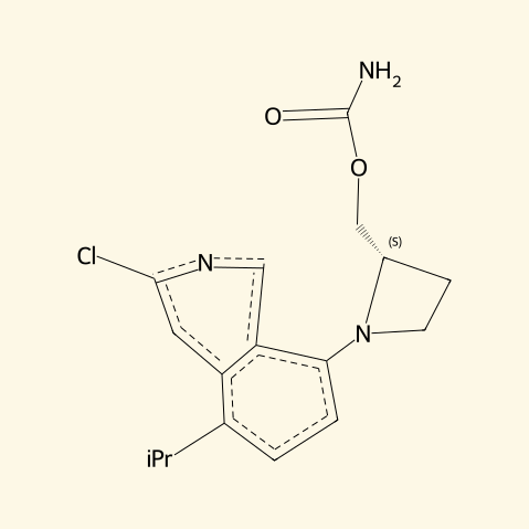 CC(C)c1ccc(N2CC[C@H]2COC(N)=O)c2cnc(Cl)cc12